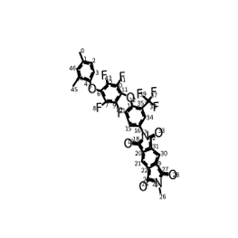 Cc1ccc(Oc2c(F)c(F)c(Oc3ccc(-n4c(=O)c5cc6c(=O)n(C)c(=O)c6cc5c4=O)cc3C(F)(F)F)c(F)c2F)c(C)c1